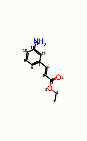 CCOC(=O)/C=C/c1cccc(N)c1